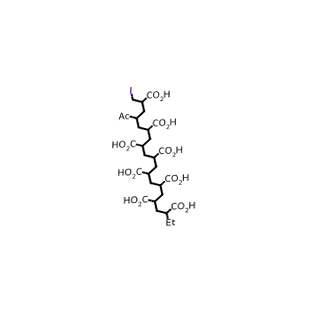 CCC(CC(CC(CC(CC(CC(CC(CC(CC(CI)C(=O)O)C(C)=O)C(=O)O)C(=O)O)C(=O)O)C(=O)O)C(=O)O)C(=O)O)C(=O)O